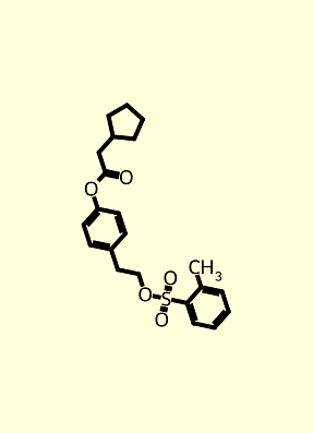 Cc1ccccc1S(=O)(=O)OCCc1ccc(OC(=O)CC2CCCC2)cc1